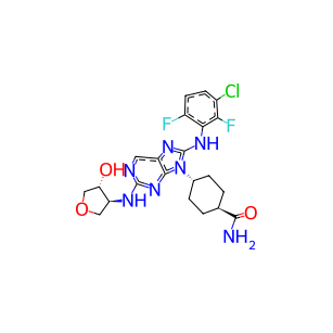 NC(=O)[C@H]1CC[C@H](n2c(Nc3c(F)ccc(Cl)c3F)nc3cnc(N[C@H]4COC[C@@H]4O)nc32)CC1